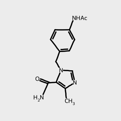 CC(=O)Nc1ccc(Cn2cnc(C)c2C(N)=O)cc1